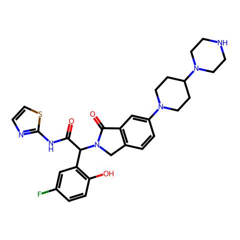 O=C(Nc1nccs1)C(c1cc(F)ccc1O)N1Cc2ccc(N3CCC(N4CCNCC4)CC3)cc2C1=O